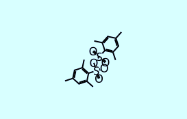 Cc1cc(C)c(S(=O)(=O)OS(=O)(=O)c2c(C)cc(C)cc2C)c(C)c1